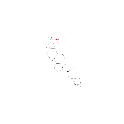 CO[C@H](C)[C@]12CC[C@@](C)(O)C[C@H]1CC[C@H]1[C@@H]3CC[C@H](C(=O)Cn4nnnc4C)[C@@]3(C)CC[C@@H]12